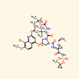 C=C[C@@H]1C[C@]1(NC(=O)[C@@H]1C[C@@H](Oc2cc(OCC)nc3c(Br)c(OC)ccc23)CN1C(=O)[C@@H](NC(=O)OC(C)(C)C)C(C)(C)C)C(=O)NS(=O)(=O)OC1(C)CC1